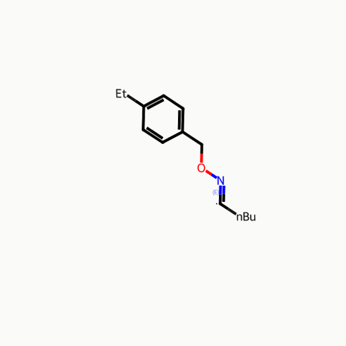 CCCC/[C]=N/OCc1ccc(CC)cc1